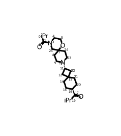 CC(C)C(=O)N1CCOC2(CCN([C@H]3CC4(CC[C@H](C(=O)C(C)C)CC4)C3)CC2)C1